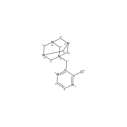 Clc1nccnc1C[N+]12CN3CN(CN(C3)C1)C2